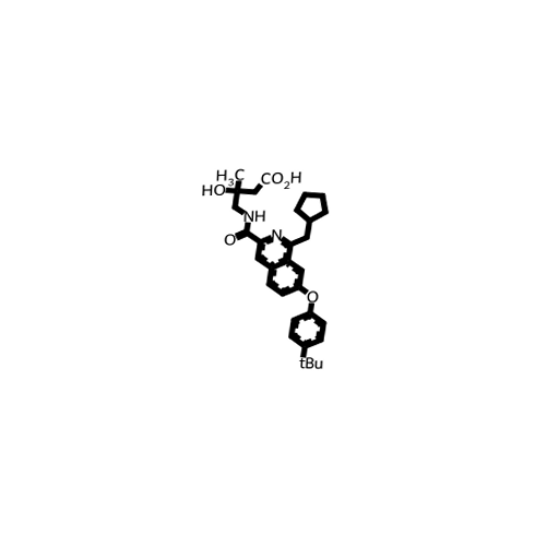 CC(O)(CNC(=O)c1cc2ccc(Oc3ccc(C(C)(C)C)cc3)cc2c(CC2CCCC2)n1)CC(=O)O